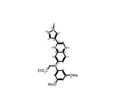 CCOC(=O)CN(c1cc(OC)cc(OC)c1)c1ccc2ncc(-c3cnn(C)c3)nc2c1